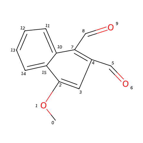 COc1cc(C=O)c(C=O)c2ccccc12